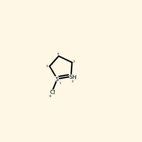 ClS1=[SH]CCC1